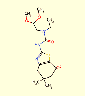 CCN(CC(OC)OC)C(=O)Nc1nc2c(s1)C(=O)CC(C)(C)C2